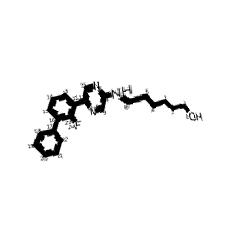 OCCCCCCNc1cnc(-c2cccc(-c3ccccc3)c2F)cn1